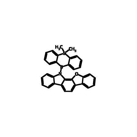 C[Si]1(C)c2ccccc2B(n2c3ccccc3c3ccc4c5ccccc5oc4c32)c2ccccc21